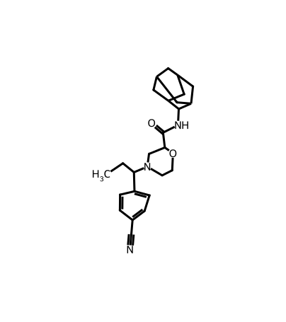 CCC(c1ccc(C#N)cc1)N1CCOC(C(=O)NC2C3CC4CC(C3)CC2C4)C1